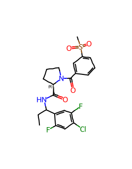 CCC(NC(=O)[C@H]1CCCN1C(=O)c1cccc(S(C)(=O)=O)c1)c1cc(F)c(Cl)cc1F